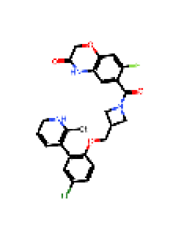 CCC1=C(c2cc(Cl)ccc2OCC2CN(C(=O)c3cc4c(cc3F)OCC(=O)N4)C2)C=CCN1